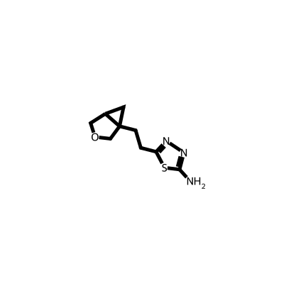 Nc1nnc(CCC23COCC2C3)s1